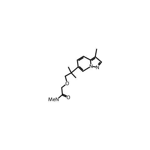 CNC(=O)COCC(C)(C)c1ccc2c(C)cnn2c1